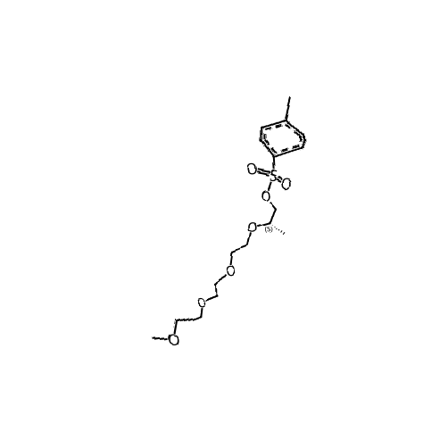 COCCOCCOCCO[C@@H](C)COS(=O)(=O)c1ccc(C)cc1